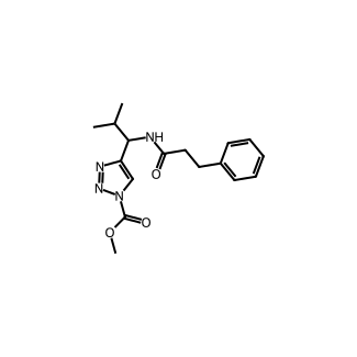 COC(=O)n1cc(C(NC(=O)CCc2ccccc2)C(C)C)nn1